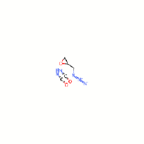 N=C=O.N=C=O.[N-]=[N+]=NCC1CO1